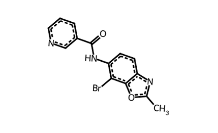 Cc1nc2ccc(NC(=O)c3cccnc3)c(Br)c2o1